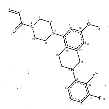 C=CC(=O)N1CCN(c2nc(OC)nc3c2CCN(c2cccc(F)c2F)C3)CC1